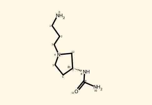 NCCCN1CC[C@@H](NC(N)=O)C1